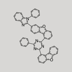 c1ccc(-c2nc(-c3cccc4oc5ccccc5c34)nc(-c3cccc4oc5cc(-c6nc7ccccc7n6-c6ccccc6)ccc5c34)n2)cc1